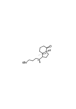 C[C@@H](CCCC(C)(C)C)C1CC[C@H]2C(=O)CCC[C@]12C